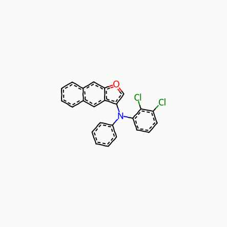 Clc1cccc(N(c2ccccc2)c2coc3cc4ccccc4cc23)c1Cl